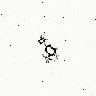 CCS(=O)(=O)c1cc(-n2ccc(C(F)(F)F)n2)ccc1C(C)=O